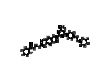 Cc1cc(N2CCN(CCN3CCCCC3)CC2)nc(NCc2ccc(CNCCCNC3CCCCC3)cc2)n1